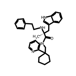 C[C@@](Cc1c[nH]c2ccccc12)(NCCc1ccccc1)C(=O)NCC1(c2ccccn2)CCCCC1